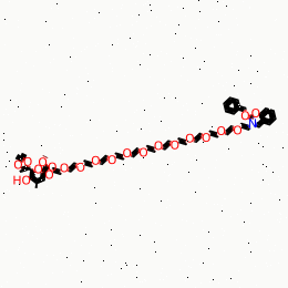 COC(=O)[C@@]1(OCCOCCOCCOCCOCCOCCOCCOCCOCCOCCOCCOCCOCCN(Cc2ccccc2)C(=O)OCc2ccccc2)C[C@@H](C)[C@@H](O)C([C@H]2COC(C)(C)O2)O1